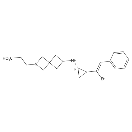 CCC(=Cc1ccccc1)C1C[C@@H]1NC1CC2(C1)CN(CCC(=O)O)C2